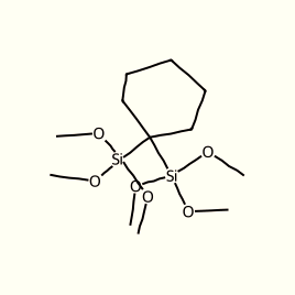 CO[Si](OC)(OC)C1([Si](OC)(OC)OC)CCCCC1